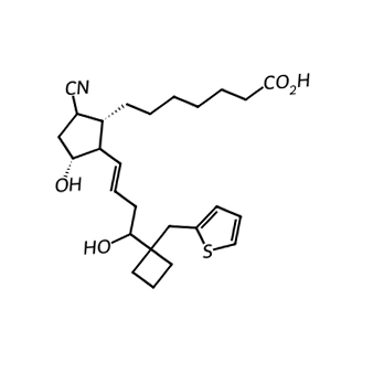 N#CC1C[C@@H](O)C(/C=C/CC(O)C2(Cc3cccs3)CCC2)[C@H]1CCCCCCC(=O)O